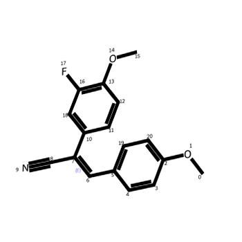 COc1ccc(/C=C(/C#N)c2ccc(OC)c(F)c2)cc1